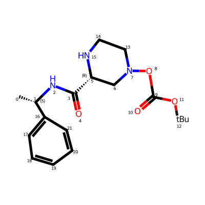 C[C@H](NC(=O)[C@H]1CN(OC(=O)OC(C)(C)C)CCN1)c1ccccc1